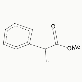 [CH2]C(C(=O)OC)c1ccccc1